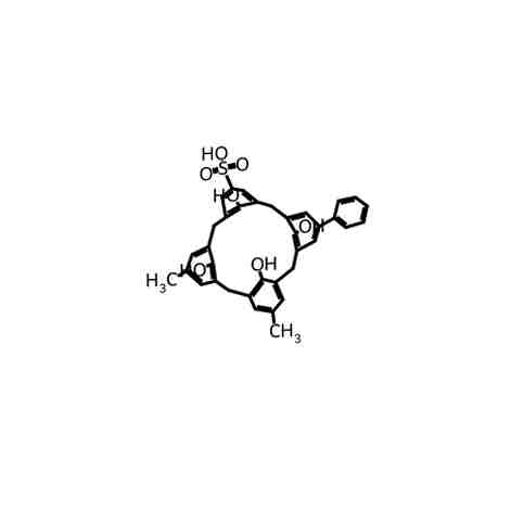 Cc1cc2c(O)c(c1)Cc1cc(-c3ccccc3)cc(c1O)Cc1cc(S(=O)(=O)O)cc(c1O)Cc1cc(C)cc(c1O)C2